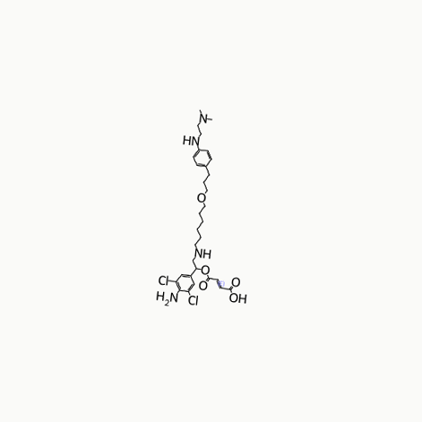 CN(C)CCNc1ccc(CCCOCCCCCCNCC(OC(=O)/C=C/C(=O)O)c2cc(Cl)c(N)c(Cl)c2)cc1